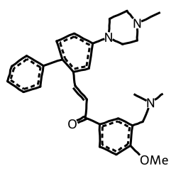 COc1ccc(C(=O)C=Cc2cc(N3CCN(C)CC3)ccc2-c2ccccc2)cc1CN(C)C